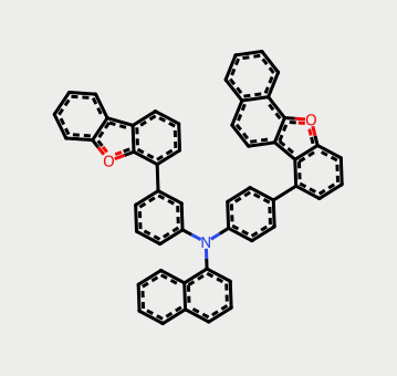 c1cc(-c2cccc3c2oc2ccccc23)cc(N(c2ccc(-c3cccc4oc5c6ccccc6ccc5c34)cc2)c2cccc3ccccc23)c1